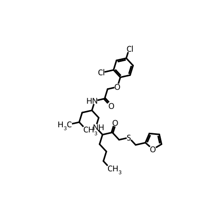 CCCCC(NCC(CC(C)C)NC(=O)COc1ccc(Cl)cc1Cl)C(=O)CSCc1ccco1